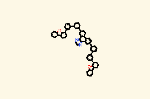 c1cc(-c2cccc(-c3cccc4c3oc3ccccc34)c2)cc(-c2ccc3c4ccc(-c5cccc(-c6cccc(-c7cccc8c7oc7ccccc78)c6)c5)cc4c4nccnc4c3c2)c1